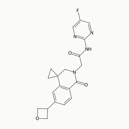 O=C(CN1CC2(CC2)c2cc(C3COC3)ccc2C1=O)Nc1ncc(F)cn1